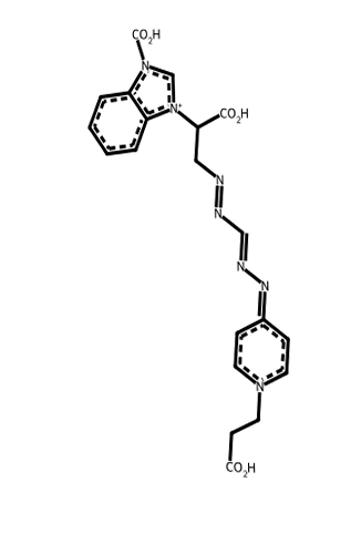 O=C(O)CCn1ccc(=NN=CN=NCC(C(=O)O)[n+]2cn(C(=O)O)c3ccccc32)cc1